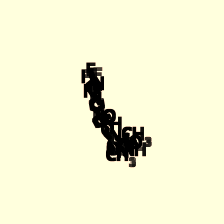 COC[C@@H](CO[C@H]1CCN(C2CCN(c3cnc(C(F)(F)F)cn3)CC2)C1=O)Nc1cn[nH]c(=O)c1C